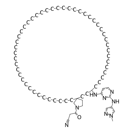 Cn1cc(Nc2nccc(NC3CCCCCCCCCCCCCCCCCCCCCCCCCCCCCCCCCCCCCCCCCCCCCCCCC4(CC3)CCN(C(=O)CC#N)C4)n2)cn1